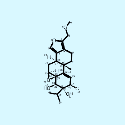 COCc1occ2c1CC[C@]1(C)C3=C[C@@H](Cl)[C@@](O)(C(C)C)[C@@H](O)[C@@]34O[C@H]4C[C@@H]21